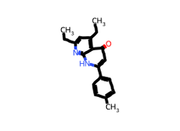 CCc1cc(CC)c2c(=O)cc(-c3ccc(C)cc3)[nH]c2n1